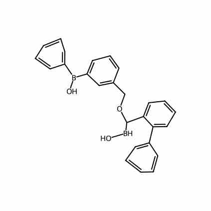 OBC(OCc1cccc(B(O)c2ccccc2)c1)c1ccccc1-c1ccccc1